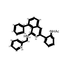 CC(=O)Nc1ccccc1-c1cc2cccc(-c3ccccc3)c2c(NCc2ccccn2)n1